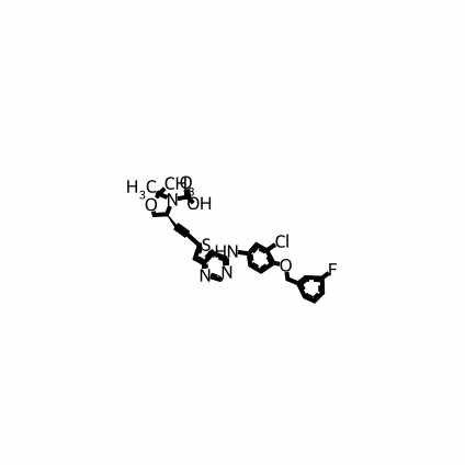 CC1(C)OC[C@H](C#Cc2cc3ncnc(Nc4ccc(OCc5cccc(F)c5)c(Cl)c4)c3s2)N1C(=O)O